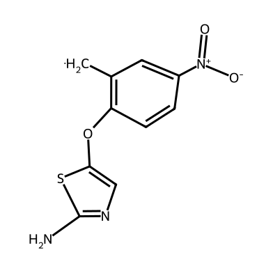 [CH2]c1cc([N+](=O)[O-])ccc1Oc1cnc(N)s1